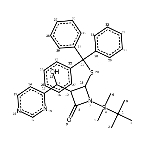 CC(C)(C)[Si](C)(C)N1C(=O)C(C(O)c2ccncn2)C1SC(c1ccccc1)(c1ccccc1)c1ccccc1